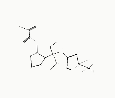 C=C(C)C(=O)OC1CCCC1C(CC)(CC)OC1COC(O)(C(F)(F)F)C1